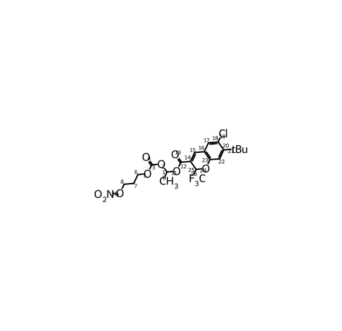 CC(OC(=O)OCCCO[N+](=O)[O-])OC(=O)C1=Cc2cc(Cl)c(C(C)(C)C)cc2OC1C(F)(F)F